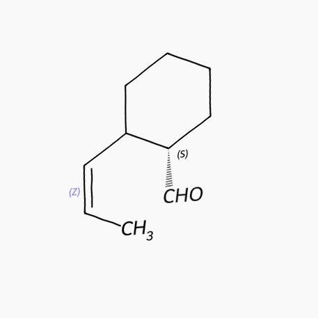 C/C=C\C1CCCC[C@@H]1C=O